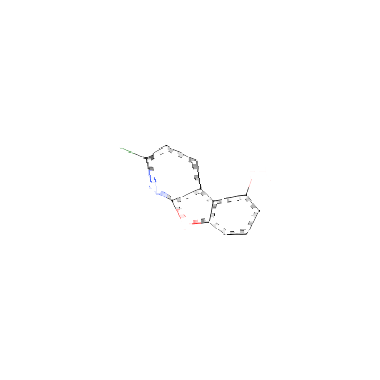 Bc1cccc2oc3nc(Cl)ccc3c12